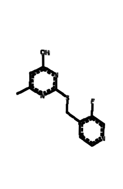 Cc1cc(O)nc(SCc2ccncc2F)n1